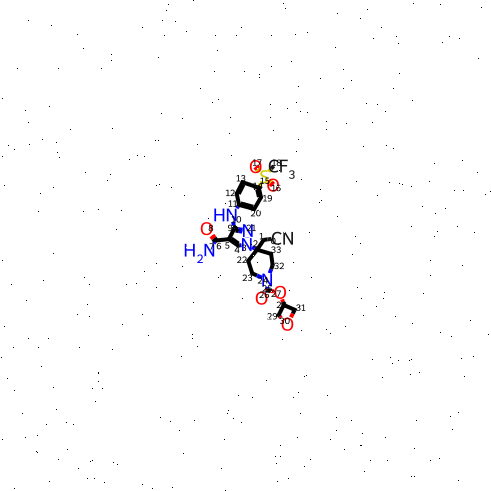 N#CCC1(n2cc(C(N)=O)c(Nc3ccc(S(=O)(=O)C(F)(F)F)cc3)n2)CCN(C(=O)OC2COC2)CC1